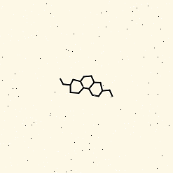 CCC1CCC2C(CCC3CC(CC)CCC32)C1